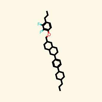 CCCc1ccc(OCC2CCC3CC(c4ccc(C5CCC(CCC)CC5)cc4)CCC3C2)c(F)c1F